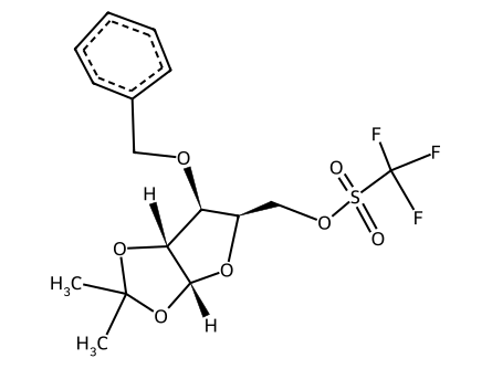 CC1(C)O[C@H]2O[C@H](COS(=O)(=O)C(F)(F)F)[C@H](OCc3ccccc3)[C@H]2O1